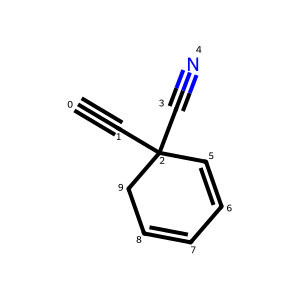 C#CC1(C#N)C=CC=CC1